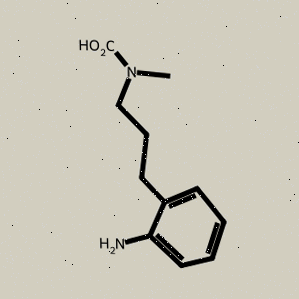 CN(CCCc1ccccc1N)C(=O)O